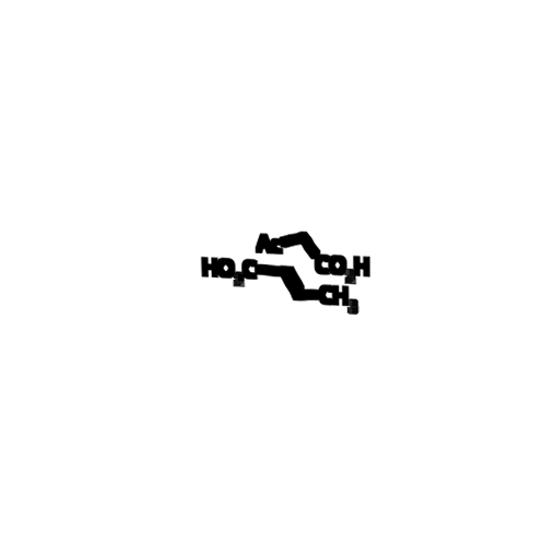 CC(=O)CC(=O)O.CC=CC(=O)O